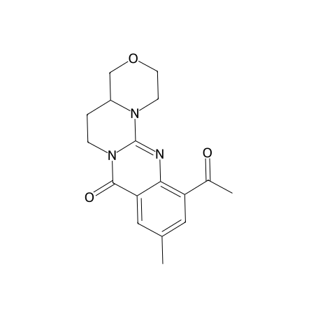 CC(=O)c1cc(C)cc2c(=O)n3c(nc12)N1CCOCC1CC3